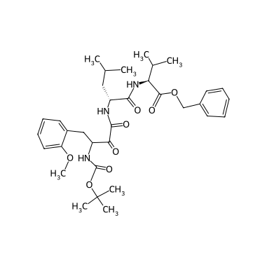 COc1ccccc1CC(NC(=O)OC(C)(C)C)C(=O)C(=O)N[C@H](CC(C)C)C(=O)N[C@H](C(=O)OCc1ccccc1)C(C)C